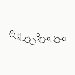 O=c1cc(OCc2ccc(Cl)cn2)ccn1C1=Cc2ccc(CNCC3CCOC3)cc2CC1